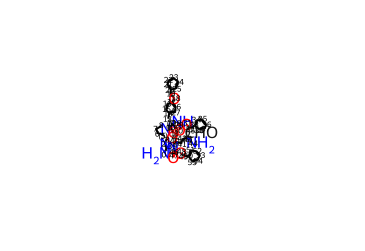 NC(=NC(=O)[C@@H]1CCCN1C(=O)[C@H](Cc1ccc(OCc2ccccc2)cc1)NC(=O)OCc1ccccc1)N(CCC[C@H](N)C=O)C(=O)OCc1ccccc1